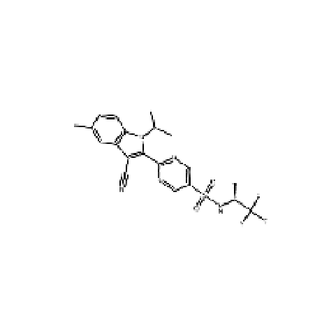 Cc1ccc2c(c1)c(C#N)c(-c1ncc(S(=O)(=O)N[C@@H](C)C(F)(F)F)cn1)n2C(C)C